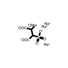 COC(C(=O)[O-])C(C(=O)[O-])S(=O)(=O)[O-].[Na+].[Na+].[Na+]